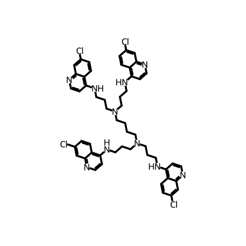 Clc1ccc2c(NCCCN(CCCCN(CCCNc3ccnc4cc(Cl)ccc34)CCCNc3ccnc4cc(Cl)ccc34)CCCNc3ccnc4cc(Cl)ccc34)ccnc2c1